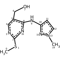 CSc1ncc(CO)c(Nc2ccn(C)n2)n1